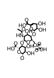 CO[C@@H]1O[C@H](C(=O)O)[C@@H](O[C@H]2O[C@H](COS(=O)(=O)O)[C@@H](O[C@@H]3OC(C(=O)O)=C[C@H](O)[C@H]3O)[C@H](O)[C@H]2NC(C)=O)[C@H](O)[C@H]1O